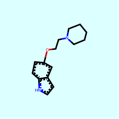 c1cc2cc(OCCN3CCCCC3)ccc2[nH]1